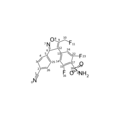 N#Cc1ccc(-c2noc(CF)c2-c2cc(F)c(S(N)(=O)=O)c(F)c2)cc1